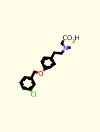 CN(CCc1ccc(OCc2cccc(Cl)c2)cc1)CC(=O)O